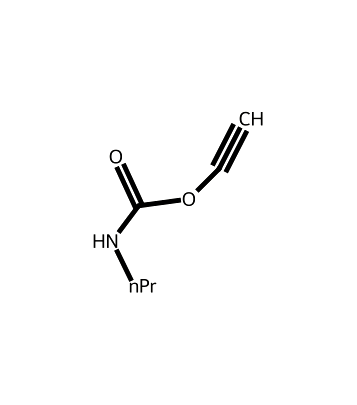 C#COC(=O)NCCC